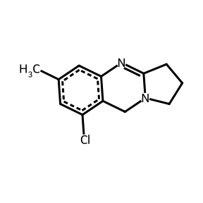 Cc1cc(Cl)c2c(c1)N=C1CCCN1C2